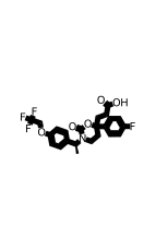 C[C@@H](c1ccc(OCC(F)(F)F)cc1)N1CCC(CCC(=O)O)(c2ccc(F)cc2)OC1=O